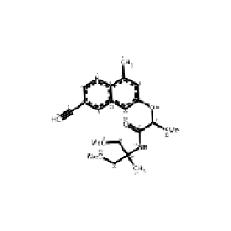 C#Cc1cnc2c(C)cc(OC(SC)C(=O)NC(C)(COC)COC)cc2c1